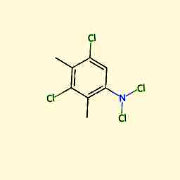 Cc1c(Cl)cc(N(Cl)Cl)c(C)c1Cl